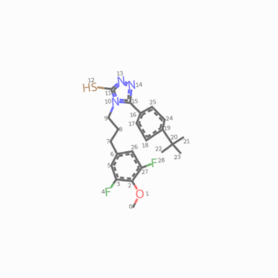 COc1c(F)cc(CCCn2c(S)nnc2-c2ccc(C(C)(C)C)cc2)cc1F